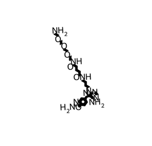 NCCOCCOCCOCCNC(=O)CCCC(=O)NCCCCn1nc(-c2ccc3oc(N)nc3c2)c2c(N)ncnc21